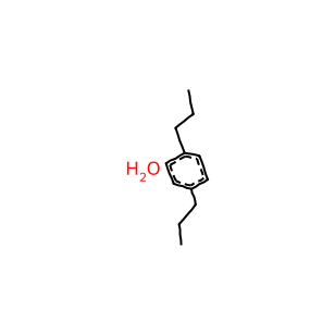 CCCc1ccc(CCC)cc1.O